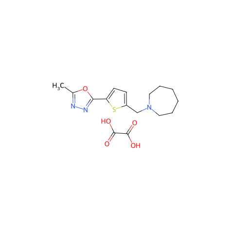 Cc1nnc(-c2ccc(CN3CCCCCC3)s2)o1.O=C(O)C(=O)O